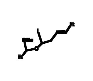 CCC=CCC(I)OC(CC)OC